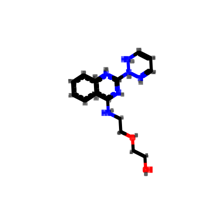 OCCOCCNc1nc(N2N=CC=CN2)nc2ccccc12